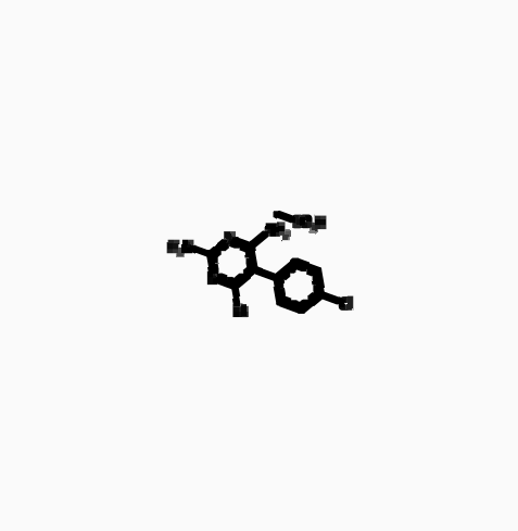 CCc1nc(N)nc(N)c1-c1ccc(Cl)cc1.CS(=O)(=O)O